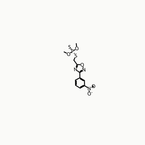 COP(=S)(OC)SCc1nc(-c2cccc([N+](=O)[O-])c2)no1